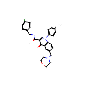 COc1ccc(-n2cc(C(=O)NCc3ccc(Cl)cc3)c(=O)c3cc(CN4CCOCC4)ccc32)cc1